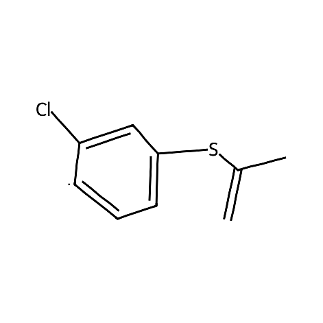 C=C(C)Sc1cc[c]c(Cl)c1